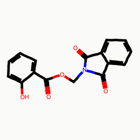 O=C(OCN1C(=O)c2ccccc2C1=O)c1ccccc1O